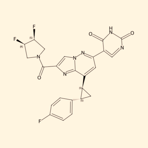 O=C1N=C=C(c2cc([C@H]3C[C@@H]3c3ccc(F)cc3)c3nc(C(=O)N4C[C@@H](F)[C@@H](F)C4)cn3n2)C(=O)N1